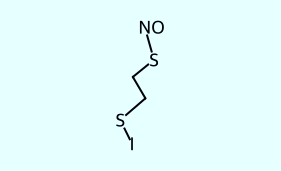 O=NSCCSI